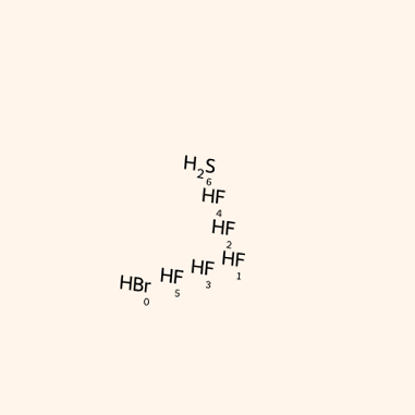 Br.F.F.F.F.F.S